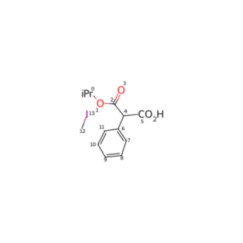 CC(C)OC(=O)C(C(=O)O)c1ccccc1.CI